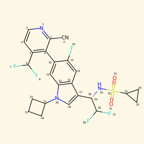 N#Cc1nccc(C(F)F)c1-c1cc2c(cc1F)c([C@H](NS(=O)(=O)C1CC1)C(F)F)cn2C1CCC1